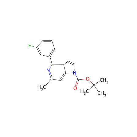 Cc1cc2c(ccn2C(=O)OC(C)(C)C)c(-c2cccc(F)c2)n1